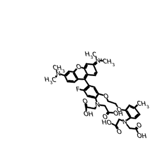 Cc1ccc(N(CC(=O)O)CC(=O)O)c(OCCOc2cc(-c3c4ccc(=[N+](C)C)cc-4oc4cc(N(C)C)ccc34)c(F)cc2N(CC(=O)O)CC(=O)O)c1